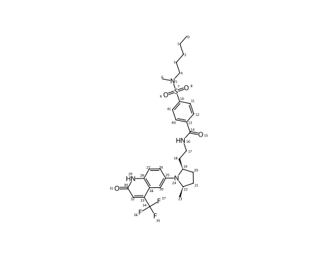 CCCCCN(C)S(=O)(=O)c1ccc(C(=O)NCC[C@H]2CC[C@@H](C)N2c2ccc3[nH]c(=O)cc(C(F)(F)F)c3c2)cc1